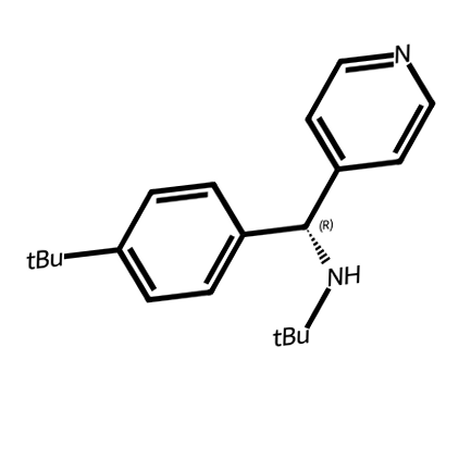 CC(C)(C)N[C@@H](c1ccncc1)c1ccc(C(C)(C)C)cc1